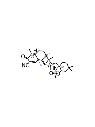 CC(=O)/C=C1/[C@@]2(C)C=C(C#N)C(=O)[C@@H](C)[C@@H]2CC[C@@]1(C)C(C)(C)CC[C@@]1(NS(C)(=O)=O)CCC(C)(C)CC1C